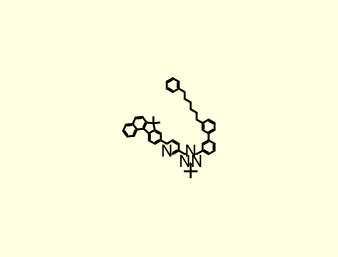 CC(C)(C)c1nc(-c2ccc(-c3ccc4c(c3)C(C)(C)c3ccc5ccccc5c3-4)nc2)nc(-c2cccc(-c3cccc(CCCCCCc4ccccc4)c3)c2)n1